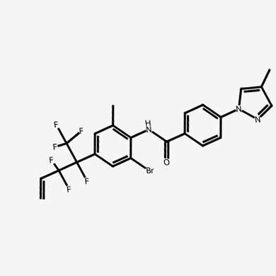 C=CC(F)(F)C(F)(c1cc(C)c(NC(=O)c2ccc(-n3cc(C)cn3)cc2)c(Br)c1)C(F)(F)F